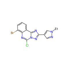 CCn1cc(-c2nc3c4cccc(Br)c4nc(Cl)n3n2)cn1